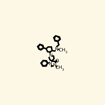 CN(CCc1ccccc1)CC1CCC(c2ccccc2)CC1N1CCC2(CC1)C(=O)N(C)CN2c1ccccc1